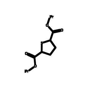 CC(C)OC(=O)C1CCC(C(=O)OC(C)C)S1